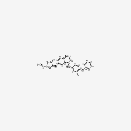 Cc1cc(Nc2ncnc3ccc(N=C4OC(CO)CN4C)cc23)ccc1Oc1ccccc1